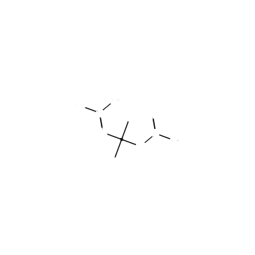 CC(C)(OP(O)O)OP(O)O